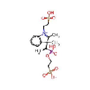 C=C(C1(C)C(C)=[N+](CCS(=O)(=O)O)c2ccccc21)P(=O)(O)OCCS(=O)(=O)O